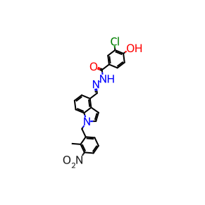 Cc1c(Cn2ccc3c(/C=N/NC(=O)c4ccc(O)c(Cl)c4)cccc32)cccc1[N+](=O)[O-]